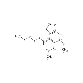 C=Cc1cc2c(c(NCCCCC)c1CCC)CCC2